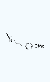 COc1ccc(CCCCN=[N+]=[N-])cc1